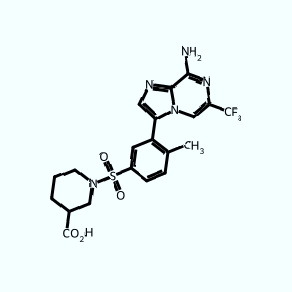 Cc1ccc(S(=O)(=O)N2CCCC(C(=O)O)C2)cc1-c1cnc2c(N)nc(C(F)(F)F)cn12